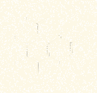 CC(=O)Nc1c(F)c(F)c(F)c(F)c1C(=O)Cl